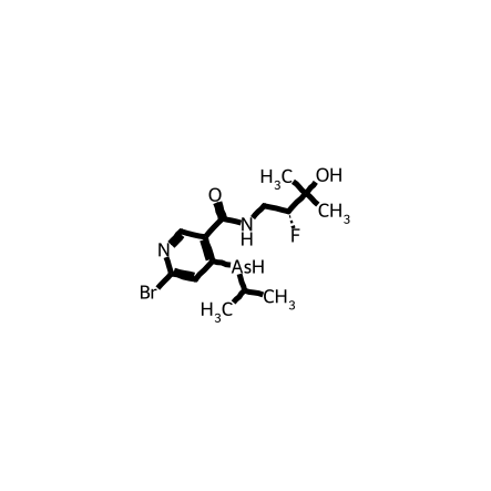 CC(C)[AsH]c1cc(Br)ncc1C(=O)NC[C@@H](F)C(C)(C)O